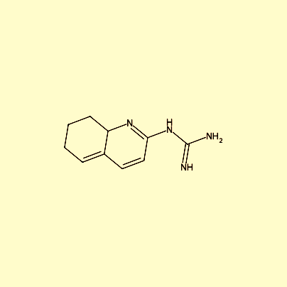 N=C(N)NC1=NC2CCCC=C2C=C1